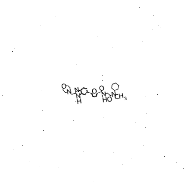 CN(C(=O)CNC(=O)c1ccc(-c2ccc3nc(CN4CCOCC4)[nH]c3c2)o1)C1CCCCC1